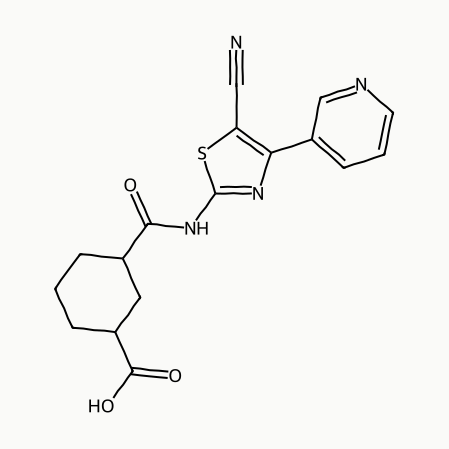 N#Cc1sc(NC(=O)C2CCCC(C(=O)O)C2)nc1-c1cccnc1